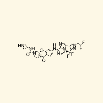 O=C(NC1CNC1)N1CCN(C(=O)c2ccc(Nc3nccn4c(-c5cn(CC(F)F)nc5C(F)(F)F)cnc34)cc2Cl)CC1